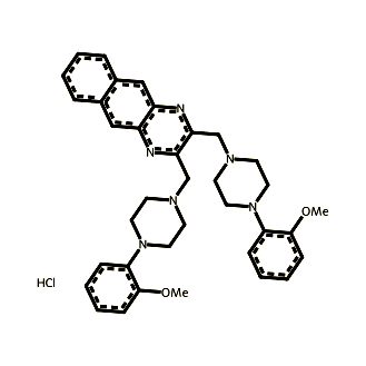 COc1ccccc1N1CCN(Cc2nc3cc4ccccc4cc3nc2CN2CCN(c3ccccc3OC)CC2)CC1.Cl